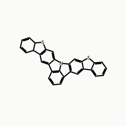 C1=CC2Sc3cc4c(cc3C2C=C1)c1cccc2c3cc5c(cc3n4c12)sc1ccccc15